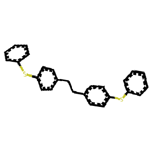 c1ccc(Sc2ccc(CCc3ccc(Sc4ccccc4)cc3)cc2)cc1